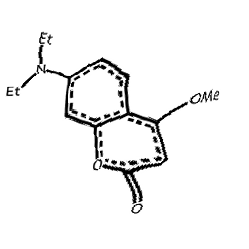 CCN(CC)c1ccc2c(OC)cc(=O)oc2c1